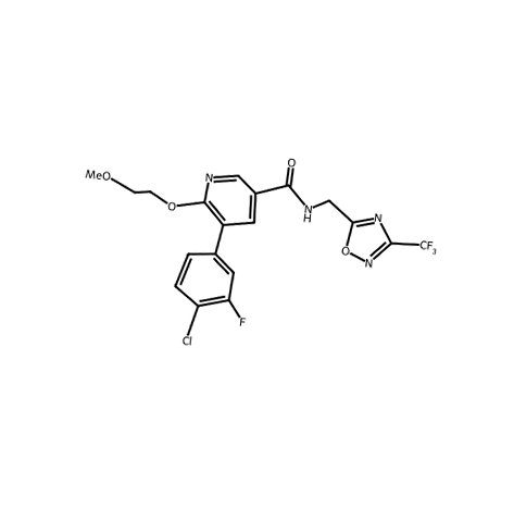 COCCOc1ncc(C(=O)NCc2nc(C(F)(F)F)no2)cc1-c1ccc(Cl)c(F)c1